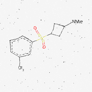 CNC1CC(S(=O)(=O)c2cccc(C(F)(F)F)c2)C1